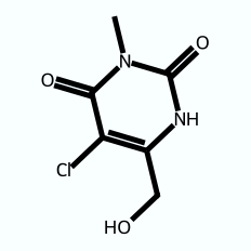 Cn1c(=O)[nH]c(CO)c(Cl)c1=O